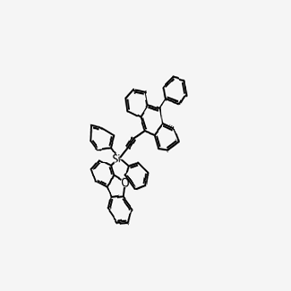 C(#C[Si](c1ccccc1)(c1ccccc1)c1cccc2c1oc1ccccc12)c1c2ccccc2c(-c2ccccc2)c2ccccc12